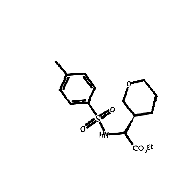 CCOC(=O)C(NS(=O)(=O)c1ccc(C)cc1)[C@@H]1CCCOC1